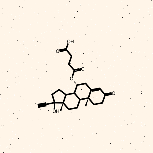 C#C[C@]1(O)CCC2C3C(CC[C@@]21C)[C@@]1(C)CCC(=O)C=C1C[C@H]3OC(=O)CCC(=O)O